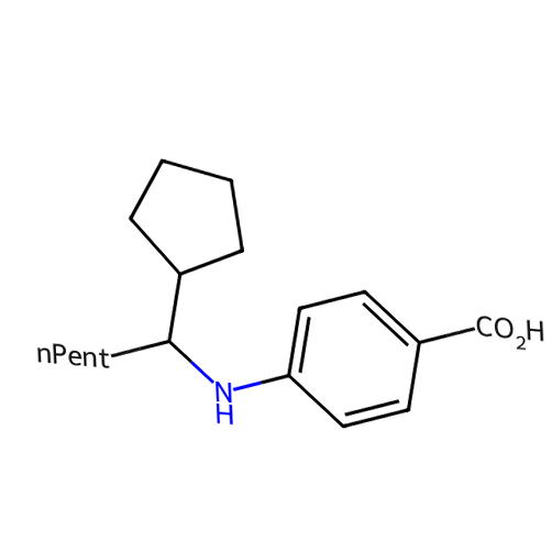 CCCCCC(Nc1ccc(C(=O)O)cc1)C1CCCC1